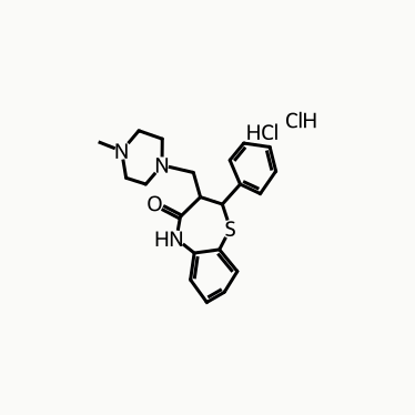 CN1CCN(CC2C(=O)Nc3ccccc3SC2c2ccccc2)CC1.Cl.Cl